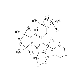 CC(C)(C)c1cc(CP(C(C)(C)C)C(C)(C)C)c(C(P)(C2CNCCN2)C2CNCCN2)cc1C(C)(C)C